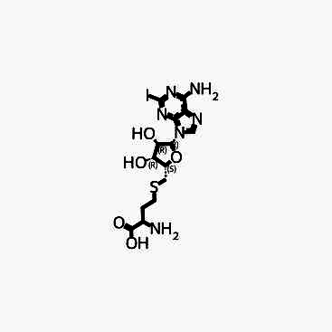 Nc1nc(I)nc2c1ncn2[C@@H]1O[C@H](CSCCC(N)C(=O)O)[C@H](O)[C@H]1O